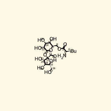 CC[C@H](C)[C@H](N)C(=O)OC[C@H]1O[C@H](O[C@]2(CO)O[C@H](CO)[C@@H](O)[C@@H]2O)[C@H](O)[C@@H](O)[C@@H]1O